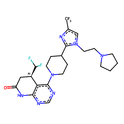 O=C1C[C@@H](C(F)F)c2c(ncnc2N2CCC(c3nc(C(F)(F)F)cn3CCN3CCCC3)CC2)N1